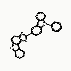 c1ccc(-n2c3ccccc3c3cc(-c4nc5c(ccc6oc7ccccc7c65)o4)ccc32)cc1